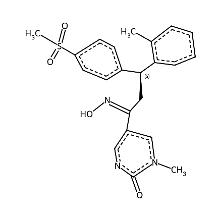 Cc1ccccc1[C@@H](CC(=NO)c1cnc(=O)n(C)c1)c1ccc(S(C)(=O)=O)cc1